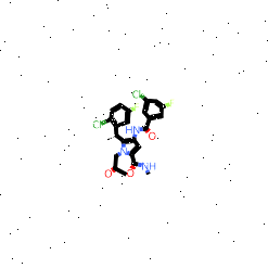 CNC(=O)c1cc(NC(=O)c2cc(F)cc(Cl)c2)c([C@H](C)c2cc(F)ccc2Cl)n1CC(C)=O